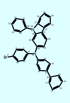 Brc1ccc(N(c2ccc(-c3ccccc3)cc2)c2ccc3c4ccccc4n(-c4ccccc4)c3c2)cc1